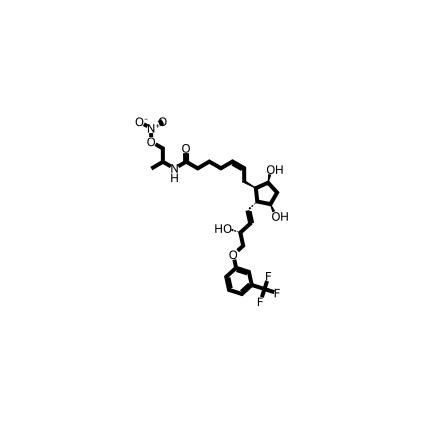 CC(CO[N+](=O)[O-])NC(=O)CCC/C=C\C[C@@H]1[C@@H](/C=C/[C@@H](O)COc2cccc(C(F)(F)F)c2)[C@H](O)C[C@@H]1O